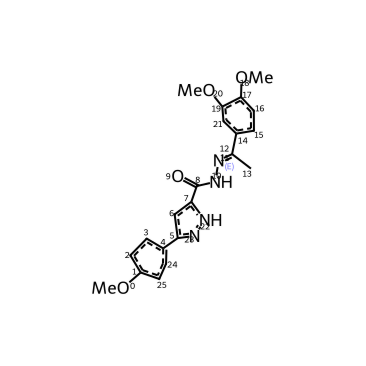 COc1ccc(-c2cc(C(=O)N/N=C(\C)c3ccc(OC)c(OC)c3)[nH]n2)cc1